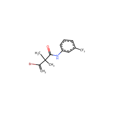 C=C(Br)C(C)(C)C(=O)Nc1cccc(C(F)(F)F)c1